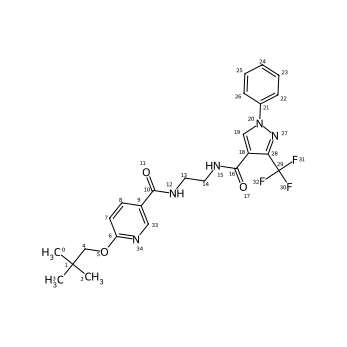 CC(C)(C)COc1ccc(C(=O)NCCNC(=O)c2cn(-c3ccccc3)nc2C(F)(F)F)cn1